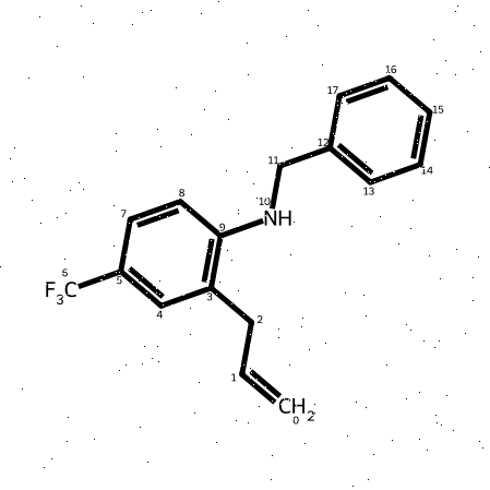 C=CCc1cc(C(F)(F)F)ccc1NCc1ccccc1